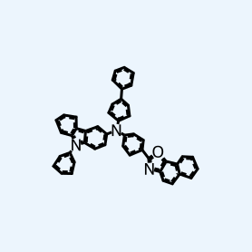 c1ccc(-c2ccc(N(c3ccc(-c4nc5ccc6ccccc6c5o4)cc3)c3ccc4c(c3)c3ccccc3n4-c3ccccc3)cc2)cc1